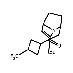 CC(C)(C)C1=CC2CCC(C1)N2C(=O)C1CC(C(F)(F)F)C1